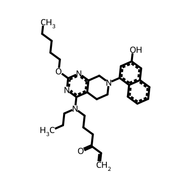 C=CC(=O)CCCN(CCC)c1nc(OCCCCC)nc2c1CCN(c1cc(O)cc3ccccc13)C2